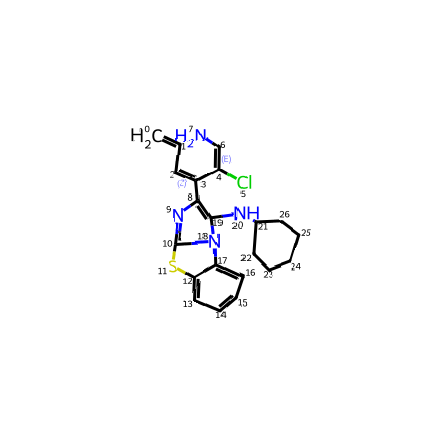 C=C/C=C(\C(Cl)=C/N)c1nc2sc3ccccc3n2c1NC1CCCCC1